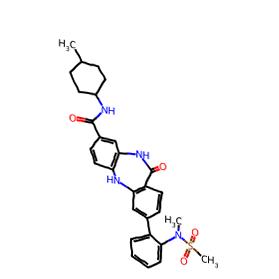 CC1CCC(NC(=O)c2ccc3c(c2)NC(=O)c2ccc(-c4ccccc4N(C)S(C)(=O)=O)cc2N3)CC1